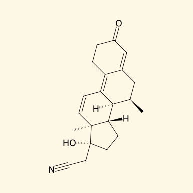 C[C@@H]1CC2=CC(=O)CCC2=C2C=C[C@@]3(C)[C@@H](CC[C@@]3(O)CC#N)[C@@H]21